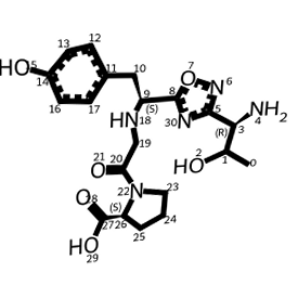 CC(O)[C@H](N)c1noc([C@H](Cc2ccc(O)cc2)NCC(=O)N2CCC[C@H]2C(=O)O)n1